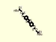 CCCCC(CC)COC(=S)Sc1ccc2c(c1)sc1c3ccc(SC(=S)OCC(CC)CCCC)cc3sc21